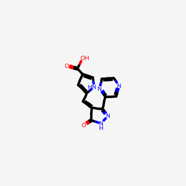 O=C1NN=C(c2cnccn2)/C1=C\c1cc(C(=O)O)c[nH]1